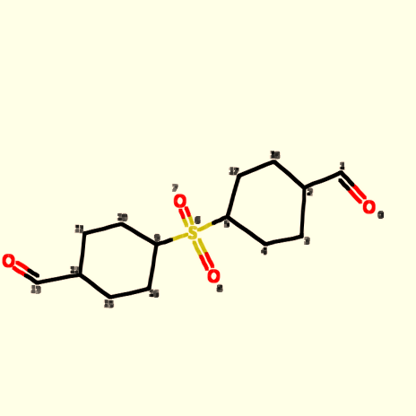 O=CC1CCC(S(=O)(=O)C2CCC(C=O)CC2)CC1